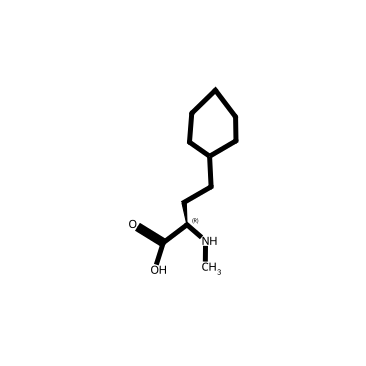 CN[C@H](CCC1CCCCC1)C(=O)O